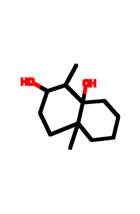 CC1C(O)CCC2(C)CCCCC12O